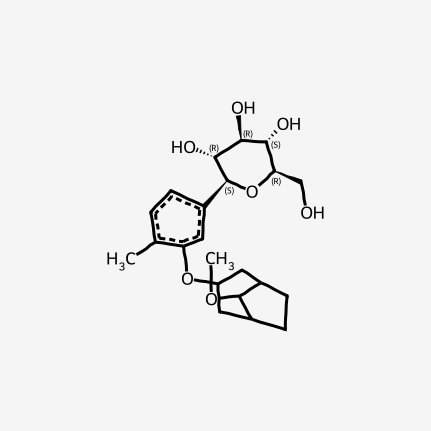 COC1C2CCC1CC(Oc1cc([C@@H]3O[C@H](CO)[C@@H](O)[C@H](O)[C@H]3O)ccc1C)C2